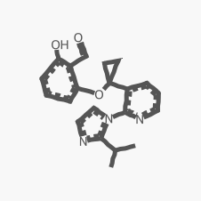 CC(C)c1nccn1-c1ncccc1C1(Oc2cccc(O)c2C=O)CC1